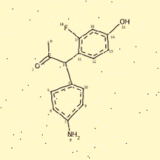 CC(=O)C(c1ccc(N)cc1)c1ccc(O)cc1F